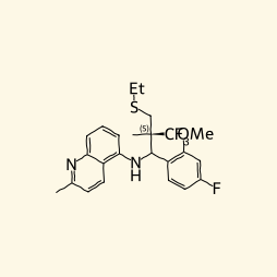 CCSC[C@@](C)(C(Nc1cccc2nc(C)ccc12)c1ccc(F)cc1OC)C(F)(F)F